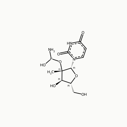 C[C@]1(OP(N)O)[C@H](O)[C@@H](CO)O[C@H]1n1ccc(=O)[nH]c1=O